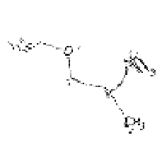 COCC(C)[SiH3]